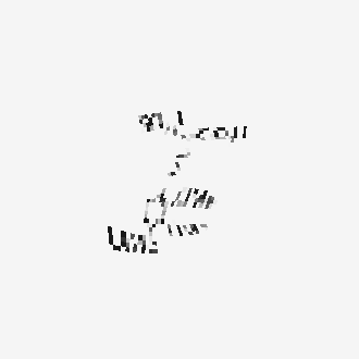 COc1ccc(CCCCC(CS(=O)(=O)O)S(=O)(=O)O)c(OC)c1OC